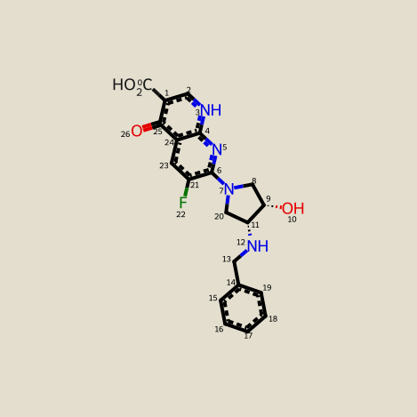 O=C(O)c1c[nH]c2nc(N3C[C@H](O)[C@H](NCc4ccccc4)C3)c(F)cc2c1=O